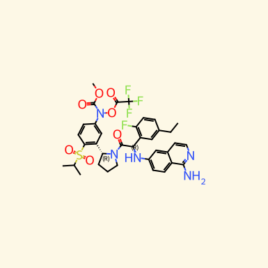 CCc1ccc(F)c([C@@H](Nc2ccc3c(N)nccc3c2)C(=O)N2CCC[C@@H]2c2cc(N(OC(=O)C(F)(F)F)C(=O)OC)ccc2S(=O)(=O)C(C)C)c1